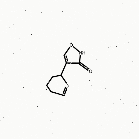 O=c1[nH]occ1C1CCCC=N1